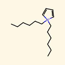 CCCCCC[N+]1(CCCCCC)C=CC=C1